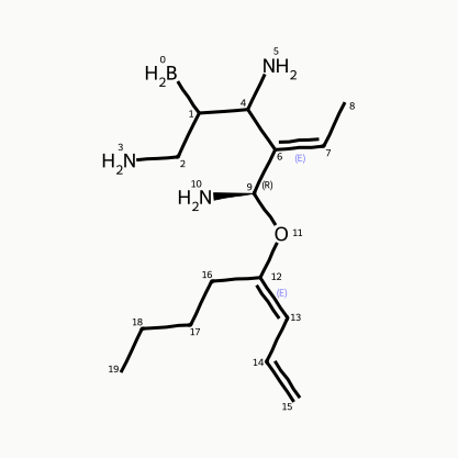 BC(CN)C(N)/C(=C\C)[C@H](N)O/C(=C/C=C)CCCC